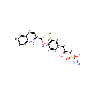 NS(=O)(=O)CC(=O)Cc1ccc(OCc2ccc3ccccc3n2)c(F)c1